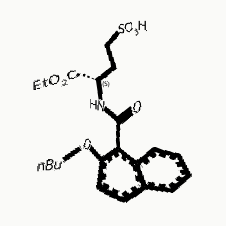 CCCCOc1ccc2ccccc2c1C(=O)N[C@@H](CCS(=O)(=O)O)C(=O)OCC